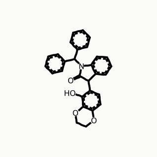 O=C1C(c2ccc3c(c2O)OCCO3)c2ccccc2N1C(c1ccccc1)c1ccccc1